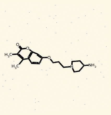 Cc1c(C)c2ccc(OCCCN3CCC(N)CC3)cc2oc1=O